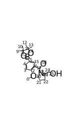 COc1ccc(B2OC(C)(C)C(C)(C)O2)cc1C(=O)N1CCC[C@@H]1CO